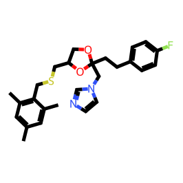 Cc1cc(C)c(CSCC2COC(CCc3ccc(F)cc3)(Cn3ccnc3)O2)c(C)c1